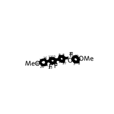 COc1ccc(OCc2ccc(-c3ccc(C4CCC(OC)CC4)c(F)c3F)cc2)c(F)c1